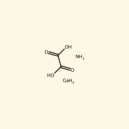 N.O=C(O)C(=O)O.[GaH3]